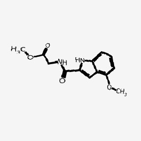 COC(=O)CNC(=O)c1cc2c(OC)cccc2[nH]1